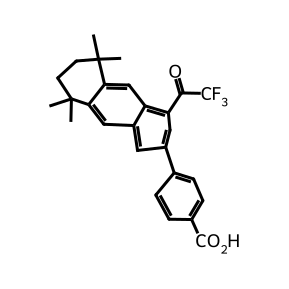 CC1(C)CCC(C)(C)c2cc3c(C(=O)C(F)(F)F)cc(-c4ccc(C(=O)O)cc4)cc3cc21